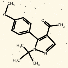 COc1ccc(-c2c(C(C)=O)cnn2C(C)(C)C)cc1